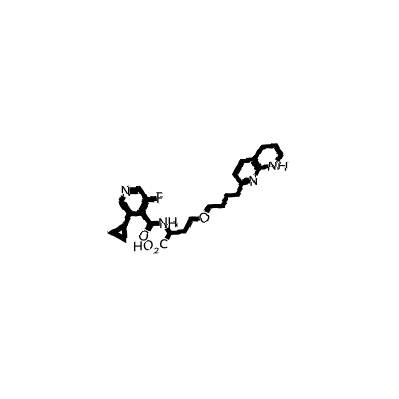 O=C(NC(CCOCCCCc1ccc2c(n1)NCCC2)C(=O)O)c1c(F)cncc1C1CC1